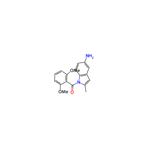 COc1cccc(OC)c1C(=O)n1c(C)cc2cc(N)ccc21